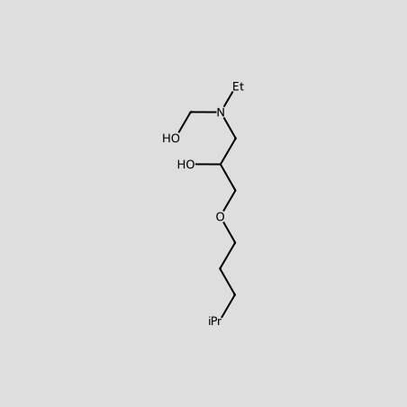 CCN(CO)CC(O)COCCCC(C)C